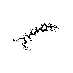 CCC(COC)NC(=O)c1cc(-c2ccc(C(C)(C)C)cc2)on1